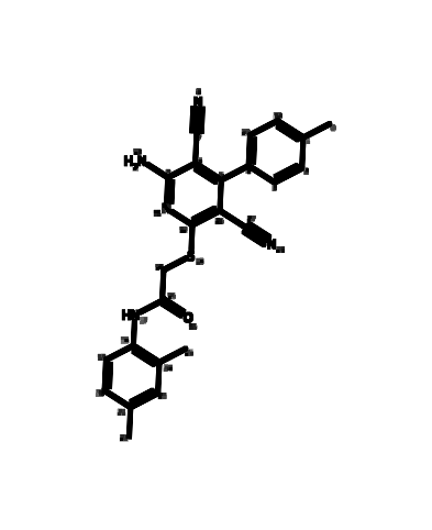 Cc1ccc(-c2c(C#N)c(N)nc(SCC(=O)Nc3ccc(C)cc3C)c2C#N)cc1